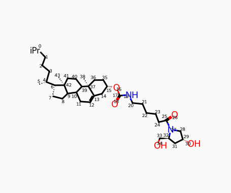 CC(C)CCC[C@@H](C)[C@H]1CCC2C3CC=C4C[C@@H](OC(=O)NCCCCCC(=O)N5C[C@H](O)C[C@H]5CO)CC[C@]4(C)C3CC[C@@]21C